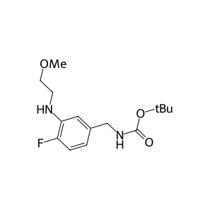 COCCNc1cc(CNC(=O)OC(C)(C)C)ccc1F